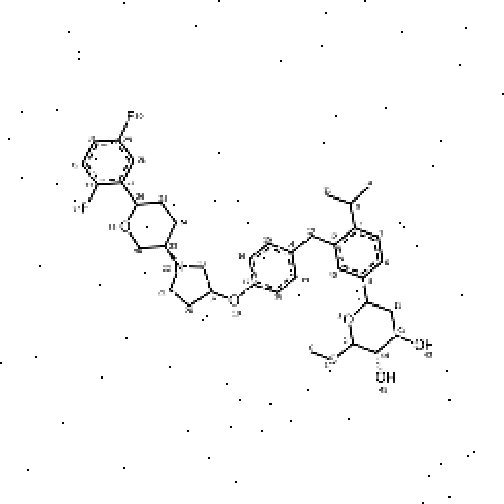 CSC1OC(c2ccc(C(C)C)c(Cc3ccc(OC4CCN([C@@H]5CCC(c6cc(F)ccc6F)OC5)C4)cc3)c2)CC(O)[C@@H]1O